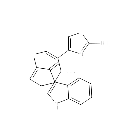 C[C@@H]1CC/C=C(\C(=O)c2c[nH]c3ccccc23)S/C=C\1c1csc(N)n1